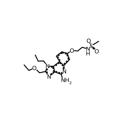 CCCn1c(COCC)nc2c(N)nc3cc(OCCNS(C)(=O)=O)ccc3c21